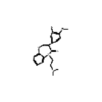 COc1ccc(C2CSc3ccccc3N(CCN(C)C)C2=O)cc1Br